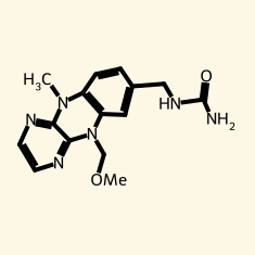 COCN1c2cc(CNC(N)=O)ccc2N(C)c2nccnc21